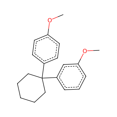 COc1ccc(C2(c3cccc(OC)c3)CCCCC2)cc1